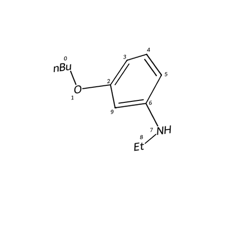 CCCCOc1cccc(NCC)c1